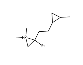 CCC1(CCC2CC2C)C[PH]1(C)C